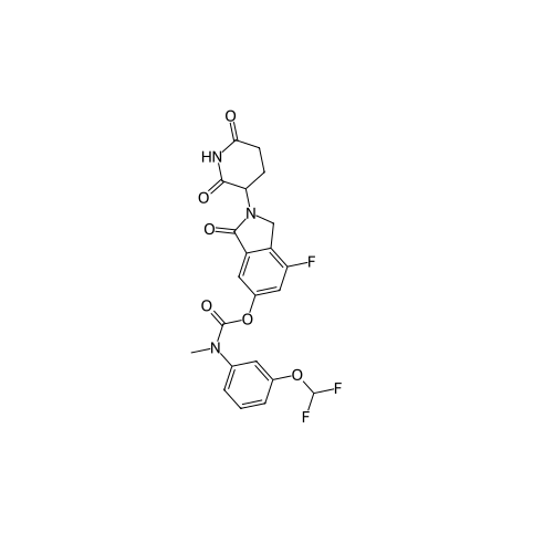 CN(C(=O)Oc1cc(F)c2c(c1)C(=O)N(C1CCC(=O)NC1=O)C2)c1cccc(OC(F)F)c1